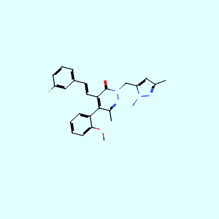 COc1ccccc1-c1c(C)nn(Cc2cc(C)nn2C)c(=O)c1C=Cc1cccc(F)c1